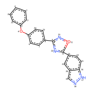 c1ccc(Oc2ccc(-c3noc(-c4ccc5[nH]ncc5c4)n3)cc2)cc1